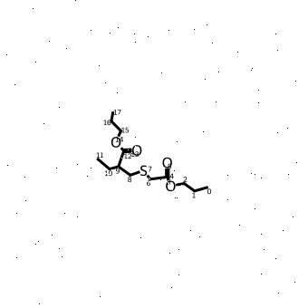 CCCOC(=O)CSCC(CC)C(=O)OCCC